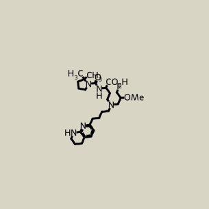 COC(CF)CN(CCCCc1ccc2c(n1)NCCC2)CCC(NC(=O)N1CCCC1(C)C)C(=O)O